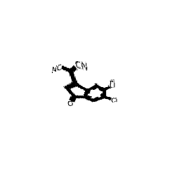 N#CC(C#N)C1CC(=O)c2cc(Cl)c(Cl)cc21